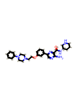 Nc1ncc(-c2cccc(OCCN3CCN(c4ccccc4)CC3)c2)nc1C(=O)N[C@H]1CCCNC1